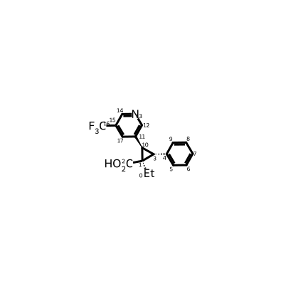 CC[C@@]1(C(=O)O)[C@@H](c2ccccc2)[C@@H]1c1cncc(C(F)(F)F)c1